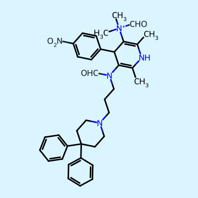 CC1=C(N(C=O)CCCN2CCC(c3ccccc3)(c3ccccc3)CC2)C(c2ccc([N+](=O)[O-])cc2)C([N+](C)(C)C=O)=C(C)N1